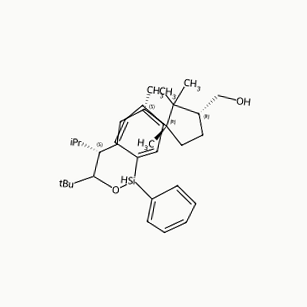 CC(C)[C@H](CC[C@H](C)[C@@]1(C)CC[C@@H](CO)C1(C)C)C(O[SiH](c1ccccc1)c1ccccc1)C(C)(C)C